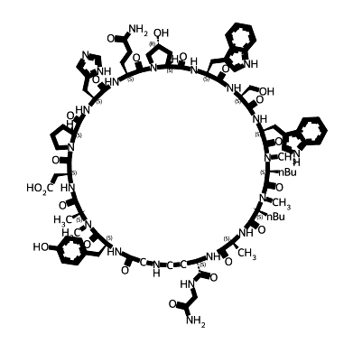 CCCC[C@H]1C(=O)N(C)[C@@H](CCCC)C(=O)N[C@@H](C)C(=O)N[C@H](C(=O)NCC(N)=O)CCNCC(=O)N[C@@H](Cc2ccc(O)cc2)C(=O)N(C)[C@@H](C)C(=O)N[C@@H](CC(=O)O)C(=O)N2CCC[C@H]2C(=O)N[C@@H](Cc2cnc[nH]2)C(=O)N[C@@H](CCC(N)=O)C(=O)N2C[C@H](O)C[C@H]2C(=O)N[C@@H](Cc2c[nH]c3ccccc23)C(=O)N[C@@H](CO)C(=O)N[C@@H](Cc2c[nH]c3ccccc23)C(=O)N1C